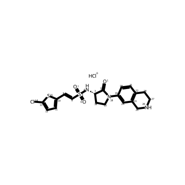 Cl.O=C1[C@@H](NS(=O)(=O)/C=C/c2ccc(Cl)s2)CCN1c1ccc2c(c1)CNCC2